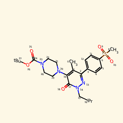 Cc1c(-c2ccc(S(C)(=O)=O)cc2)nn(CC(C)C)c(=O)c1N1CCN(C(=O)OC(C)(C)C)CC1